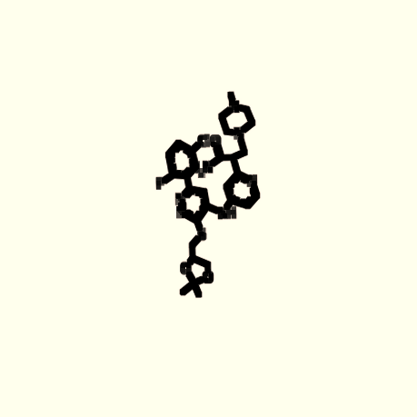 CN1CCN(CC(C(N)=O)c2cc(Nc3cc(-c4cc(Cl)ccc4F)nnc3SCC3COC(C)(C)O3)ccn2)CC1